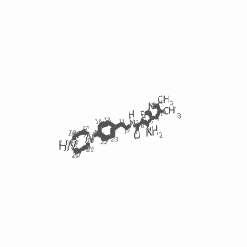 Cc1cc2c(N)c(C(=O)NCCc3ccc(N4CCNCC4)cc3)sc2nc1C